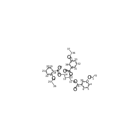 CCOc1cccc(C(=O)OCC(CCOC(=O)c2ccccc2OCC)OC(=O)c2cccc(OCC)c2)c1